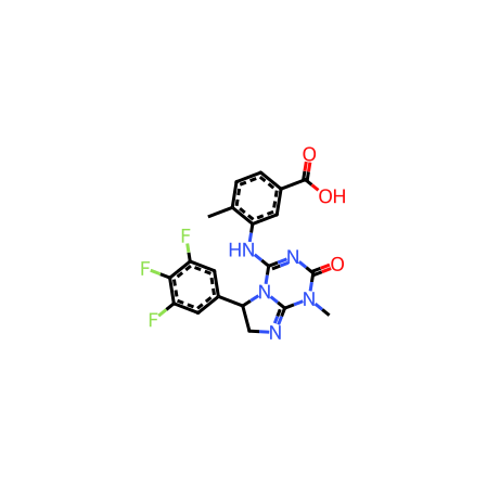 Cc1ccc(C(=O)O)cc1NC1=NC(=O)N(C)C2=NCC(c3cc(F)c(F)c(F)c3)N12